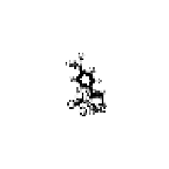 COP(=O)(OC)N1OCC=C1c1ccc(N(C)C)cc1